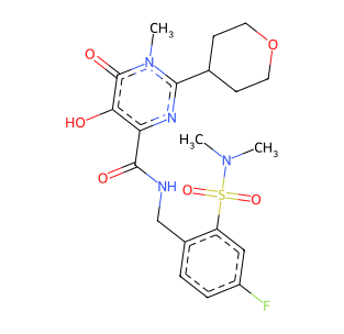 CN(C)S(=O)(=O)c1cc(F)ccc1CNC(=O)c1nc(C2CCOCC2)n(C)c(=O)c1O